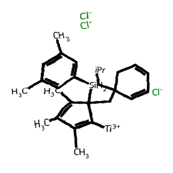 CC1=C(C)C(CC2(CC(C)C)C=CC=CC2)([SiH2]c2cc(C)cc(C)c2)[C]([Ti+3])=C1C.[Cl-].[Cl-].[Cl-]